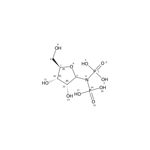 O=P(O)(O)N(C1O[C@H](CO)[C@@H](O)[C@H]1O)P(=O)(O)O